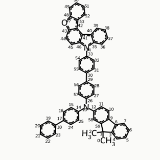 CC1(C)c2ccccc2-c2ccc(N(c3ccc(-c4ccccc4)cc3)c3ccc(-c4ccc(-n5c6ccccc6c6c7c(ccc65)oc5ccccc57)cc4)cc3)cc21